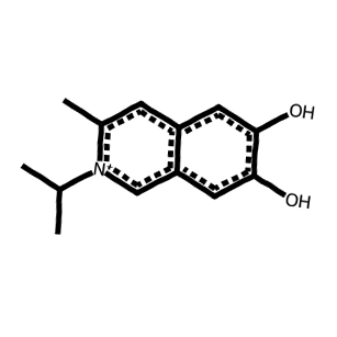 Cc1cc2cc(O)c(O)cc2c[n+]1C(C)C